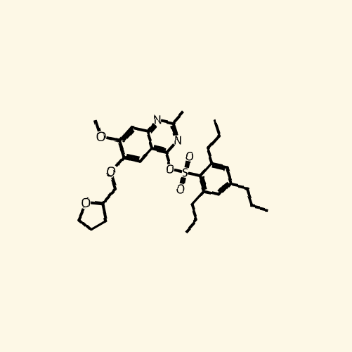 CCCc1cc(CCC)c(S(=O)(=O)Oc2nc(C)nc3cc(OC)c(OCC4CCCO4)cc23)c(CCC)c1